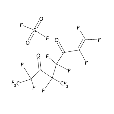 O=C(C(F)=C(F)F)C(F)(F)C(F)(C(=O)C(F)(F)C(F)(F)F)C(F)(F)F.O=S(=O)(F)F